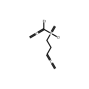 C=C=CCCP(=C)(Cl)C(=C=C)CC